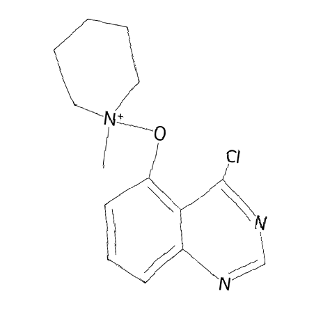 C[N+]1(Oc2cccc3ncnc(Cl)c23)CCCCC1